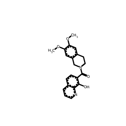 COc1cc2c(cc1OC)CN(C(=O)c1ccc3cccnc3c1O)CC2